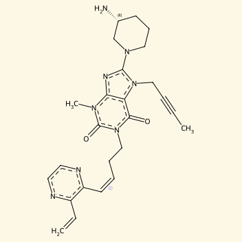 C=Cc1nccnc1/C=C\CCn1c(=O)c2c(nc(N3CCC[C@@H](N)C3)n2CC#CC)n(C)c1=O